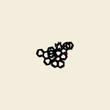 c1ccc(-c2nnc(-c3ccccc3)n2-c2cccc3c4ccccc4n(-c4cccc(-c5ccccc5-c5cccc(-n6c7ccccc7c7c8oc9ccccc9c8ccc76)c5)c4)c23)cc1